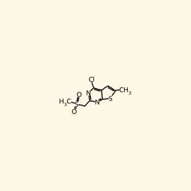 Cc1cc2c(Cl)nc(CS(C)(=O)=O)nc2s1